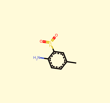 Cc1ccc(N)c([SH](=O)=O)c1